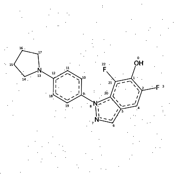 Oc1c(F)cc2cnn(-c3ccc(N4CCCC4)cc3)c2c1F